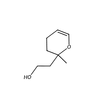 CC1(CCO)CCC=CO1